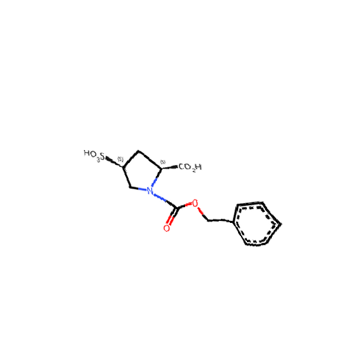 O=C(O)[C@@H]1C[C@H](S(=O)(=O)O)CN1C(=O)OCc1ccccc1